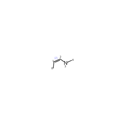 C/C=C\[N]C